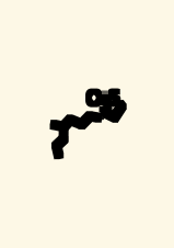 CCCC(C)CCCC[C@H]1CCS[S+]1[O-]